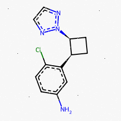 Nc1ccc(Cl)c([C@@H]2CC[C@@H]2n2nccn2)c1